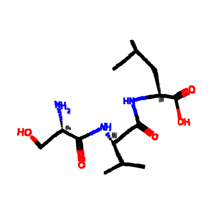 CC(C)C[C@H](NC(=O)[C@@H](NC(=O)[C@@H](N)CO)C(C)C)C(=O)O